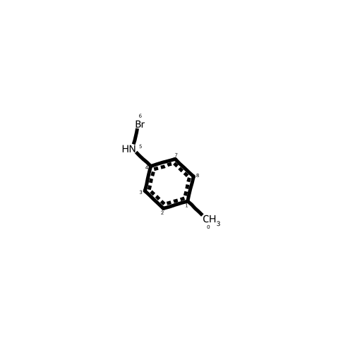 Cc1ccc(NBr)cc1